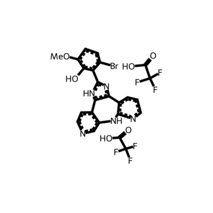 COc1ccc(Br)c(-c2nc3c([nH]2)-c2ccncc2Nc2ncccc2-3)c1O.O=C(O)C(F)(F)F.O=C(O)C(F)(F)F